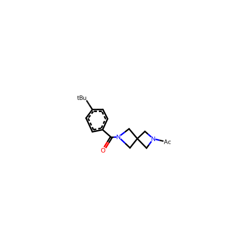 CC(=O)N1CC2(C1)CN(C(=O)c1ccc(C(C)(C)C)cc1)C2